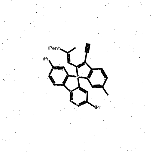 C#CC1=C(/C=C(\C)C(C)CCC)S2(c3cc(C)ccc31)c1cc(C(C)C)ccc1-c1ccc(C(C)C)cc12